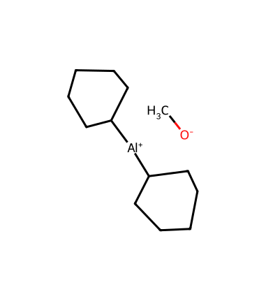 C1CC[CH]([Al+][CH]2CCCCC2)CC1.C[O-]